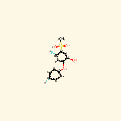 CS(=O)(=O)c1cc(O)c(Oc2ccc(F)cc2)cc1F